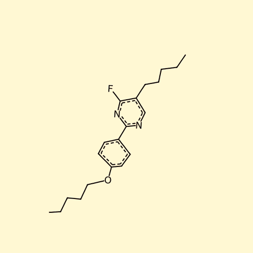 CCCCCOc1ccc(-c2ncc(CCCCC)c(F)n2)cc1